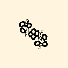 Fc1ccccc1N(c1ccc2ccc3c(N(c4ccccc4F)c4cccc5sc6ccccc6c45)ccc4ccc1c2c43)c1cccc2oc3ccccc3c12